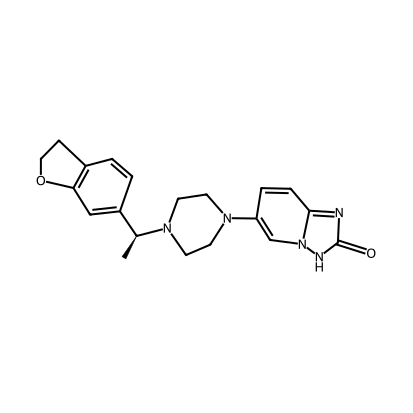 C[C@@H](c1ccc2c(c1)OCC2)N1CCN(c2ccc3nc(=O)[nH]n3c2)CC1